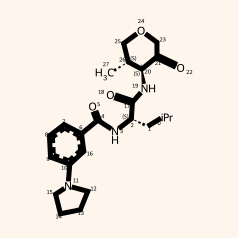 CC(C)C[C@H](NC(=O)c1cccc(N2CCCC2)c1)C(=O)N[C@@H]1C(=O)COC[C@H]1C